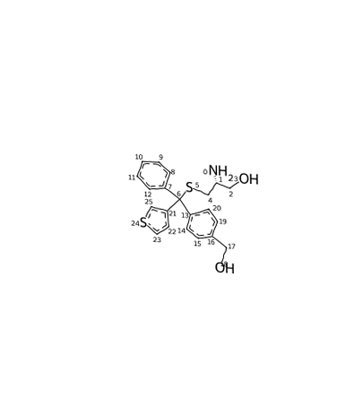 N[C@H](CO)CSC(c1ccccc1)(c1ccc(CO)cc1)c1ccsc1